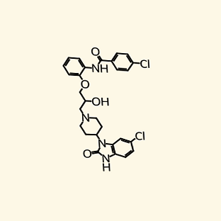 O=C(Nc1ccccc1OCC(O)CN1CCC(n2c(=O)[nH]c3ccc(Cl)cc32)CC1)c1ccc(Cl)cc1